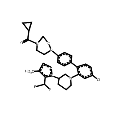 O=C(O)c1cnn(C2CCCN(c3cc(Cl)ccc3-c3ccc(N4CCN(C(=O)C5CC5)CC4)cc3)C2)c1C(F)F